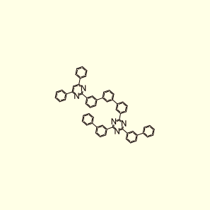 c1ccc(-c2cccc(-c3nc(-c4cccc(-c5ccccc5)c4)nc(-c4cccc(-c5cccc(-c6cccc(-c7nc(-c8ccccc8)cc(-c8ccccc8)n7)c6)c5)c4)n3)c2)cc1